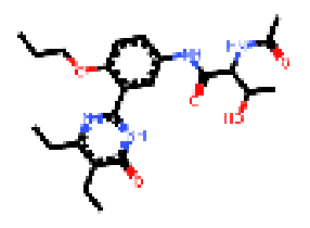 CCCOc1ccc(NC(=O)C(NC(C)=O)C(C)O)cc1-c1nc(CC)c(CC)c(=O)[nH]1